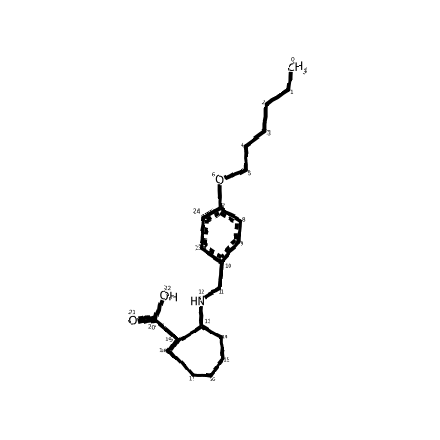 CCCCCCOc1ccc(CNC2CCCCCC2C(=O)O)cc1